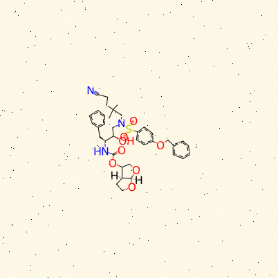 CC(C)(CCC#N)CN(C[C@@H](O)[C@H](Cc1ccccc1)NC(=O)OC1CO[C@H]2OCC[C@@H]12)S(=O)(=O)c1ccc(OCc2ccccc2)cc1